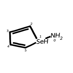 N[SeH]1C=CC=C1